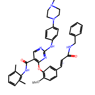 COc1ccc(/C=C/C(=O)NCc2ccccc2)cc1Oc1nc(Nc2ccc(N3CCN(C)CC3)cc2)ncc1C(=O)Nc1c(C)cccc1C